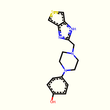 Oc1ccc(N2CCN(Cc3nc4cscc4[nH]3)CC2)cc1